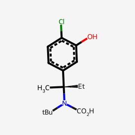 CC[C@@](C)(c1ccc(Cl)c(O)c1)N(C(=O)O)C(C)(C)C